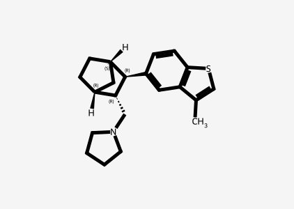 Cc1csc2ccc([C@@H]3[C@H]4CC[C@H](C4)[C@H]3CN3CCCC3)cc12